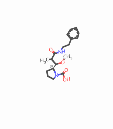 COC(C(C)C(=O)NCCc1ccccc1)[C@@H]1CCCN1C(=O)O